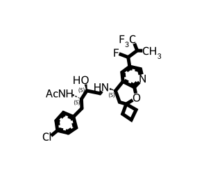 CC(=O)N[C@@H](Cc1ccc(Cl)cc1)[C@@H](O)CN[C@H]1CC2(CCC2)Oc2ncc(C(F)C(C)C(F)(F)F)cc21